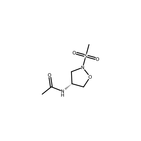 CC(=O)N[C@H]1CON(S(C)(=O)=O)C1